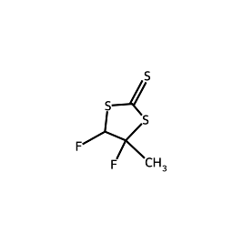 CC1(F)SC(=S)SC1F